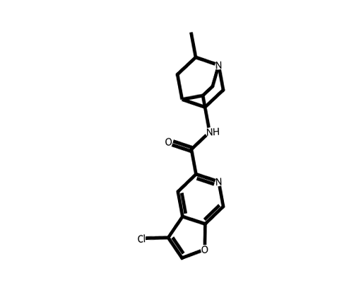 CC1CC2CCN1CC2NC(=O)c1cc2c(Cl)coc2cn1